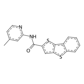 Cc1ccnc(NC(=O)c2cc3sc4ccccc4c3s2)c1